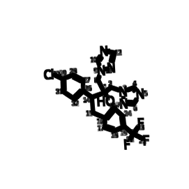 OC(Cn1cncn1)(Cn1cncn1)C(Cc1ccc(C(F)(F)F)cc1)c1ccc(Cl)cc1